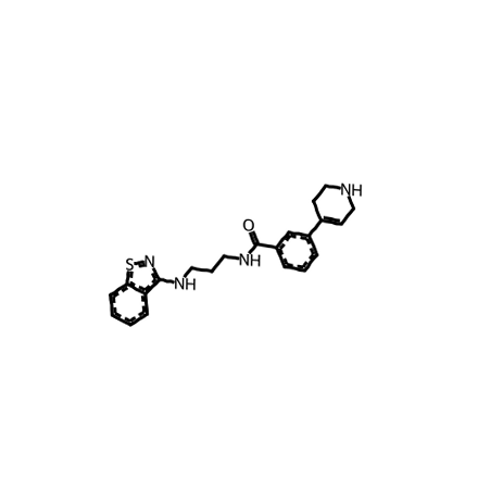 O=C(NCCCNc1nsc2ccccc12)c1cccc(C2=CCNCC2)c1